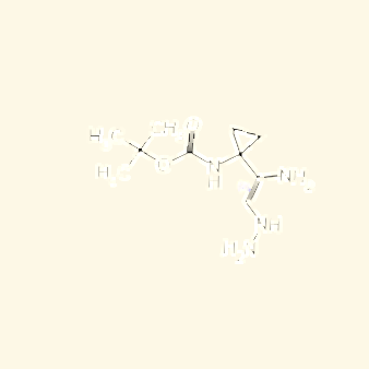 CC(C)(C)OC(=O)NC1(/C(N)=C/NN)CC1